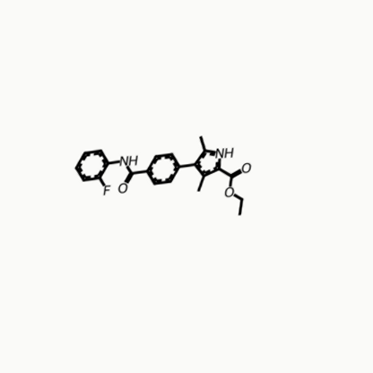 CCOC(=O)c1[nH]c(C)c(-c2ccc(C(=O)Nc3ccccc3F)cc2)c1C